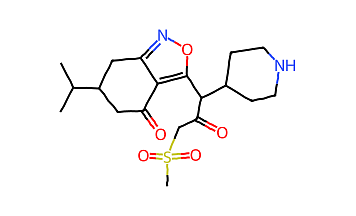 CC(C)C1CC(=O)c2c(noc2C(C(=O)CS(C)(=O)=O)C2CCNCC2)C1